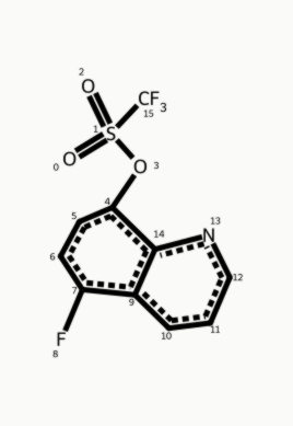 O=S(=O)(Oc1ccc(F)c2cccnc12)C(F)(F)F